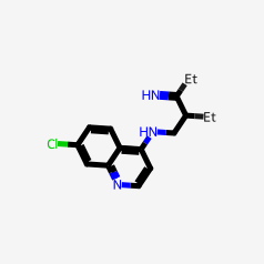 CCC(=N)C(CC)CNc1ccnc2cc(Cl)ccc12